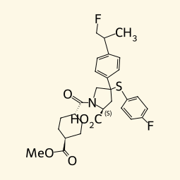 COC(=O)[C@H]1CC[C@H](C(=O)N2CC(Sc3ccc(F)cc3)(c3ccc(C(C)CF)cc3)C[C@H]2C(=O)O)CC1